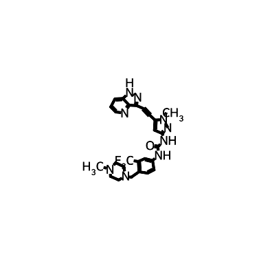 CN1CCN(Cc2ccc(NC(=O)Nc3cc(C#Cc4n[nH]c5cccnc45)n(C)n3)cc2C(F)(F)F)CC1